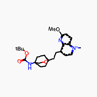 COc1ccc2c(n1)c(CCC13CCC(NC(=O)OC(C)(C)C)(CC1)CO3)cc[n+]2C